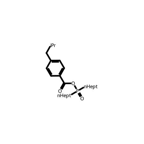 CCCCCCCP(=O)(CCCCCCC)OC(=O)c1ccc(CC(C)C)cc1